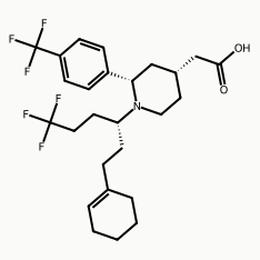 O=C(O)C[C@@H]1CCN([C@H](CCC2=CCCCC2)CCC(F)(F)F)[C@H](c2ccc(C(F)(F)F)cc2)C1